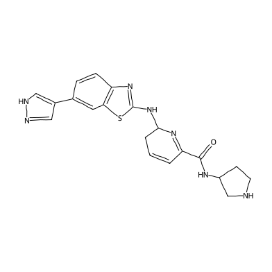 O=C(NC1CCNC1)C1=NC(Nc2nc3ccc(-c4cn[nH]c4)cc3s2)CC=C1